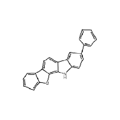 c1ccc(-c2ccc3[nH]c4c(ccc5c6ccccc6oc54)c3c2)cc1